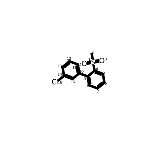 CS(=O)(=O)c1ccccc1-c1cccc(Cl)c1